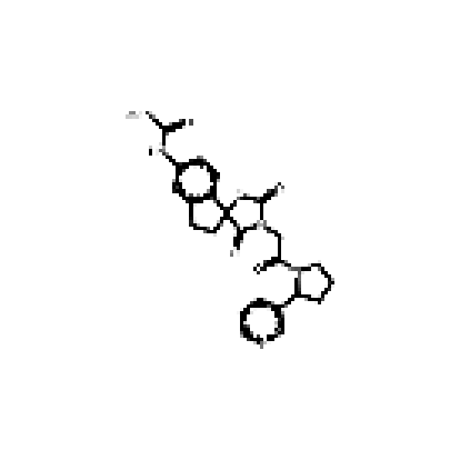 CNC(=O)Nc1ccc2c(c1)CCC21OC(=O)N(CC(=O)N2CCCC2c2cccnc2)C1=O